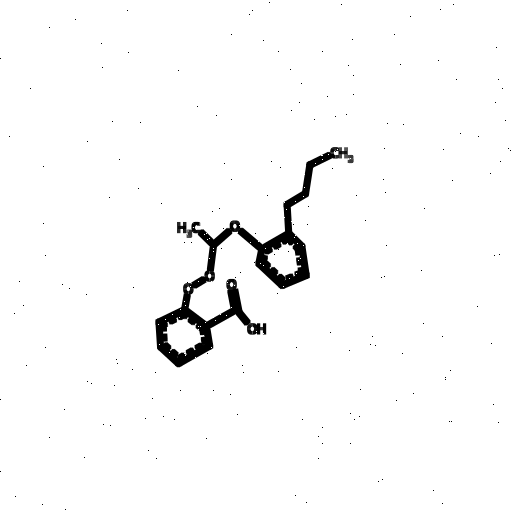 CCCCc1ccccc1OC(C)OOc1ccccc1C(=O)O